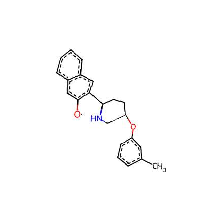 Cc1cccc(OC2CCC(c3cc4ccccc4cc3[O])NC2)c1